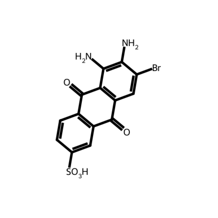 Nc1c(Br)cc2c(c1N)C(=O)c1ccc(S(=O)(=O)O)cc1C2=O